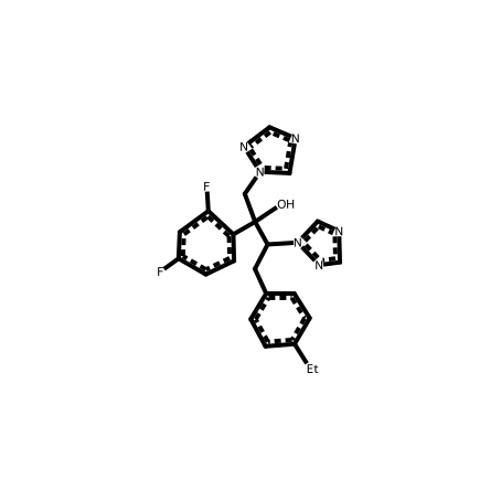 CCc1ccc(CC(n2cncn2)C(O)(Cn2cncn2)c2ccc(F)cc2F)cc1